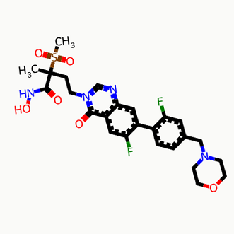 CC(CCn1cnc2cc(-c3ccc(CN4CCOCC4)cc3F)c(F)cc2c1=O)(C(=O)NO)S(C)(=O)=O